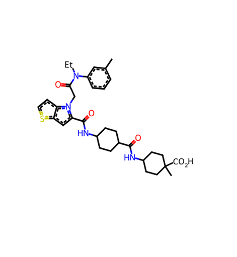 CCN(C(=O)Cn1c(C(=O)NC2CCC(C(=O)NC3CCC(C)(C(=O)O)CC3)CC2)cc2sccc21)c1cccc(C)c1